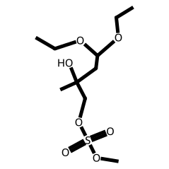 CCOC(CC(C)(O)COS(=O)(=O)OC)OCC